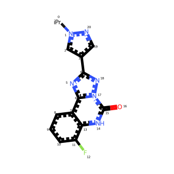 CC(C)n1cc(-c2nc3c4cccc(F)c4[nH]c(=O)n3n2)cn1